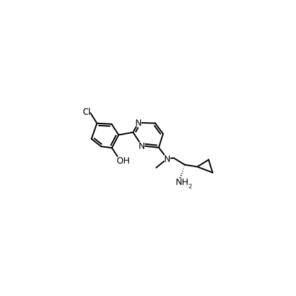 CN(C[C@@H](N)C1CC1)c1ccnc(-c2cc(Cl)ccc2O)n1